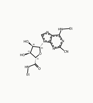 CCNC(=O)[C@H]1O[C@@H](n2cnc3c(NCC)nc(C#N)nc32)[C@H](O)[C@@H]1O